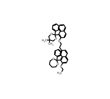 CCOc1ccc2ccc(CCOc3ccc4ccccc4c3C3(c4ccccc4)OCC(C)(C)CO3)cc2c1C1(c2ccccc2)OCCCCO1